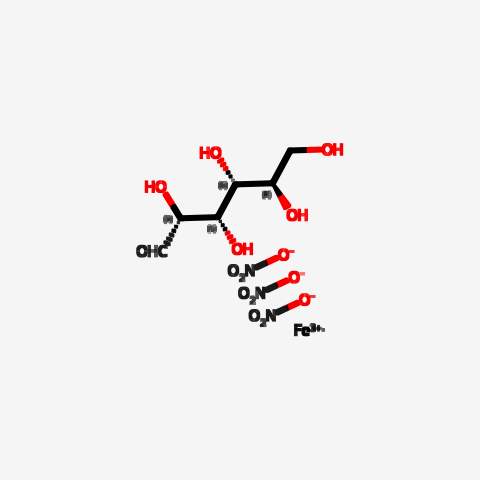 O=C[C@H](O)[C@@H](O)[C@H](O)[C@H](O)CO.O=[N+]([O-])[O-].O=[N+]([O-])[O-].O=[N+]([O-])[O-].[Fe+3]